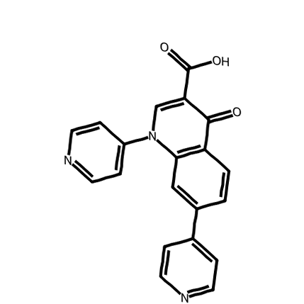 O=C(O)c1cn(-c2ccncc2)c2cc(-c3ccncc3)ccc2c1=O